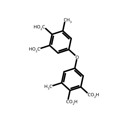 Cc1cc(Oc2cc(C)c(C(=O)O)c(C(=O)O)c2)cc(C(=O)O)c1C(=O)O